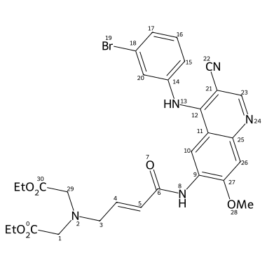 CCOC(=O)CN(CC=CC(=O)Nc1cc2c(Nc3cccc(Br)c3)c(C#N)cnc2cc1OC)CC(=O)OCC